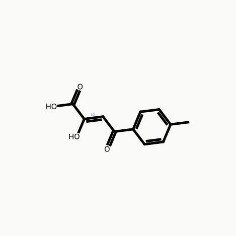 Cc1ccc(C(=O)/C=C(\O)C(=O)O)cc1